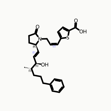 C[C@@H](CCCc1ccccc1)[C@H](O)/C=C/[C@H]1CCC(=O)N1C/C=C\c1ccc(C(=O)O)s1